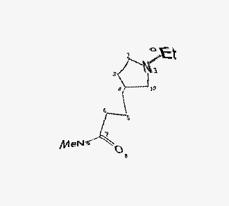 CCN1CCC(CCC(=O)NC)C1